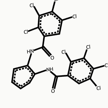 O=C(Nc1ccccc1NC(=O)c1cc(Cl)c(Cl)c(Cl)c1Cl)c1cc(Cl)c(Cl)c(Cl)c1Cl